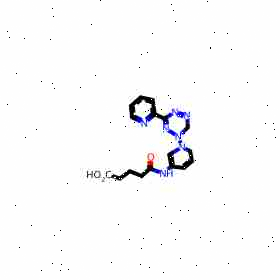 O=C(O)CCCC(=O)NC1=CN(N2CN=NC(c3ccccn3)=N2)CC=C1